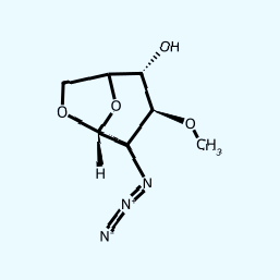 CO[C@H]1C(N=[N+]=[N-])[C@@H]2OCC(O2)[C@@H]1O